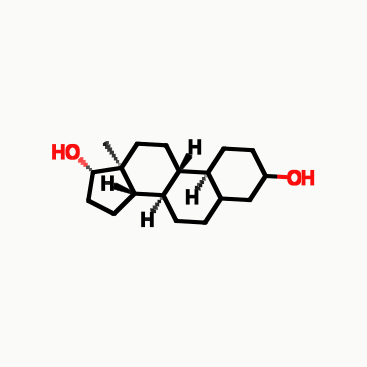 C[C@]12CC[C@H]3[C@@H](CCC4CC(O)CC[C@@H]43)[C@@H]1CC[C@@H]2O